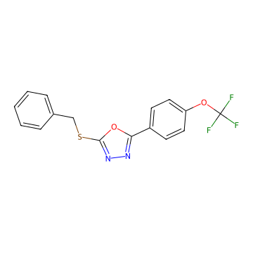 FC(F)(F)Oc1ccc(-c2nnc(SCc3ccccc3)o2)cc1